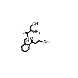 CCCCCCCCCCCCC(=O)N1CCCCC1CNC(=O)C(N)CO